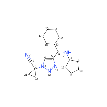 N#CC1(n2cc(C(NC3CCCC3)C3CCCCC3)nn2)CC1